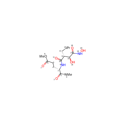 CNC(=O)[C@H](CCC(=O)OC)NC(=O)[C@H](CC(C)C)[C@H](O)C(=O)NO